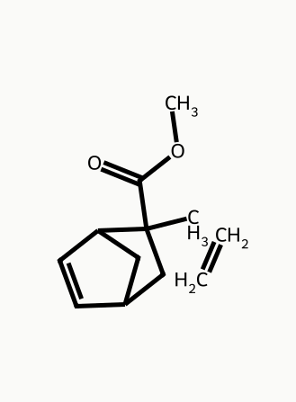 C=C.COC(=O)C1(C)CC2C=CC1C2